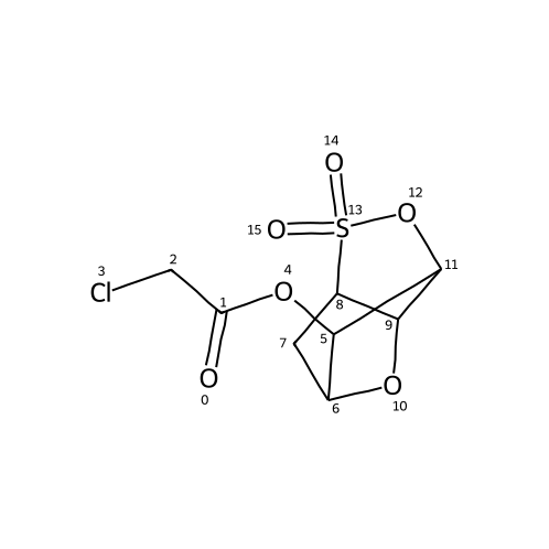 O=C(CCl)OC1C2CC3C(O2)C1OS3(=O)=O